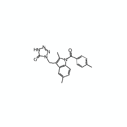 Cc1ccc(C(=O)n2c(C)c(Cn3nn[nH]c3=O)c3cc(C)ccc32)cc1